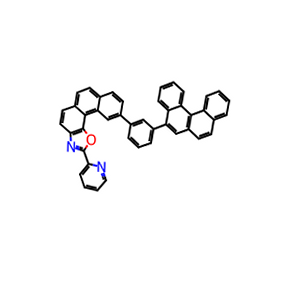 c1ccc(-c2nc3ccc4ccc5ccc(-c6cccc(-c7cc8ccc9ccccc9c8c8ccccc78)c6)cc5c4c3o2)nc1